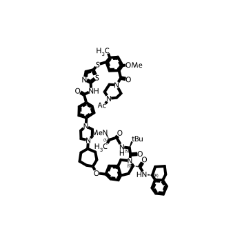 CN[C@@H](C)C(=O)N[C@H](C(=O)N1Cc2cc(OC3CCCC(N4CCN(c5ccc(C(=O)Nc6ncc(Sc7cc(C(=O)N8CCN(C(C)=O)CC8)c(OC)cc7C)s6)cc5)CC4)CC3)ccc2C[C@H]1C(=O)N[C@@H]1CCCc2ccccc21)C(C)(C)C